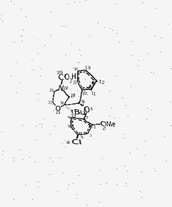 COc1cc(Cl)ccc1O[C@H](c1ccccc1)[C@]1(C(C)(C)C)CN(C(=O)O)CCO1